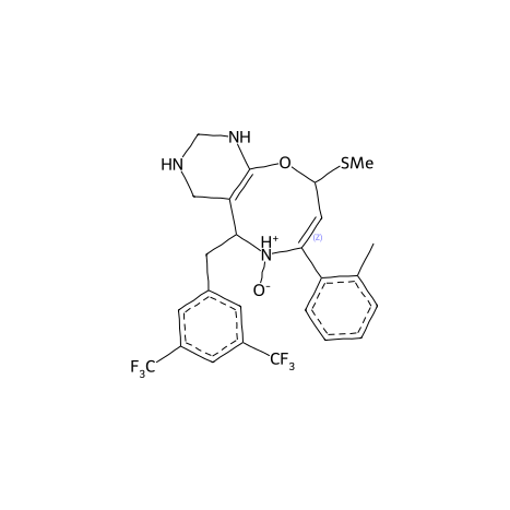 CSC1/C=C(/c2ccccc2C)[NH+]([O-])C(Cc2cc(C(F)(F)F)cc(C(F)(F)F)c2)C2=C(NCNC2)O1